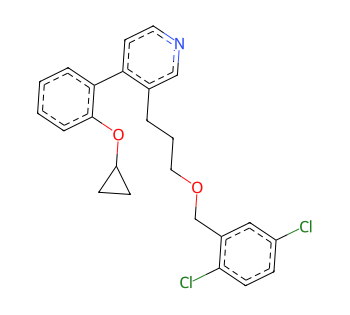 Clc1ccc(Cl)c(COCCCc2cnccc2-c2ccccc2OC2CC2)c1